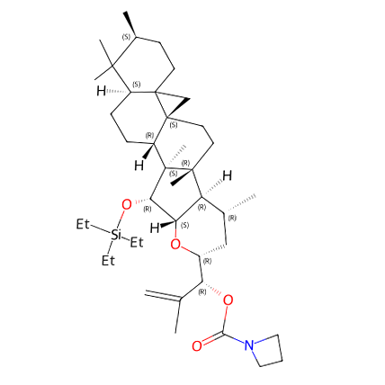 C=C(C)[C@@H](OC(=O)N1CCC1)[C@H]1C[C@@H](C)[C@H]2[C@H](O1)[C@H](O[Si](CC)(CC)CC)[C@@]1(C)[C@@H]3CC[C@H]4C(C)(C)[C@@H](C)CCC45C[C@@]35CC[C@]21C